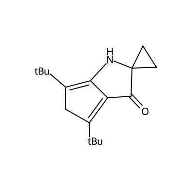 CC(C)(C)C1=C2NC3(CC3)C(=O)C2=C(C(C)(C)C)C1